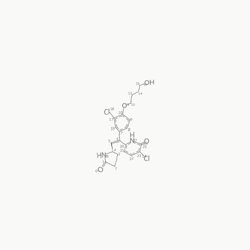 O=C1CC[C@H](/C=C(/c2ccc(OCCCCO)c(Cl)c2)c2ccc(Cl)c(=O)[nH]2)N1